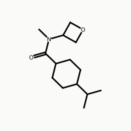 CC(C)C1CCC(C(=O)N(C)C2COC2)CC1